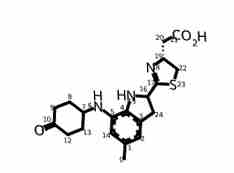 Cc1cc2c(c(NC3CCC(=O)CC3)c1)NC(C1=N[C@H](CC(=O)O)CS1)C2